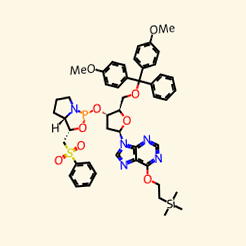 COc1ccc(C(OC[C@H]2O[C@@H](n3cnc4c(OCC[Si](C)(C)C)ncnc43)C[C@@H]2O[P@@]2O[C@H](CS(=O)(=O)c3ccccc3)[C@@H]3CCCN32)(c2ccccc2)c2ccc(OC)cc2)cc1